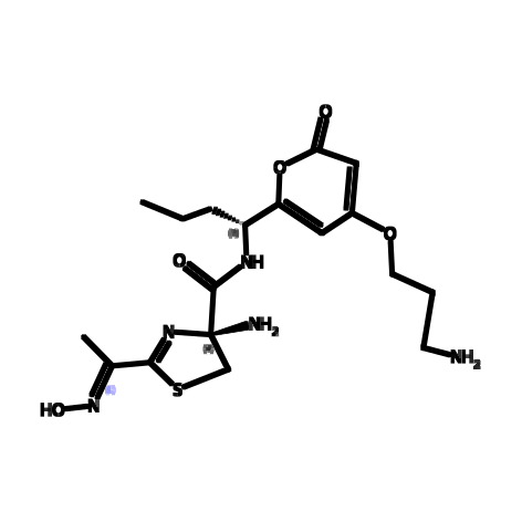 CCC[C@@H](NC(=O)[C@]1(N)CSC(/C(C)=N/O)=N1)c1cc(OCCCN)cc(=O)o1